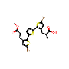 COC(=O)CCc1cc(Br)sc1-c1ccc(-c2sc(Br)cc2CC(C)C(=O)O)s1